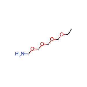 CCOCOCOCOCN